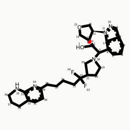 O=C(O)C(c1cccc2cnn([C@H]3CCOC3)c12)N1CCC(C(F)(F)CCCCc2ccc3c(n2)NCCC3)C1